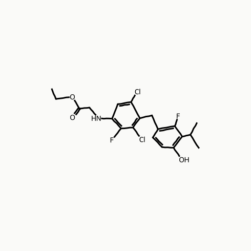 CCOC(=O)CNc1cc(Cl)c(Cc2ccc(O)c(C(C)C)c2F)c(Cl)c1F